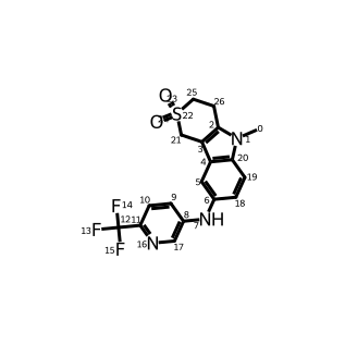 Cn1c2c(c3cc(Nc4ccc(C(F)(F)F)nc4)ccc31)CS(=O)(=O)CC2